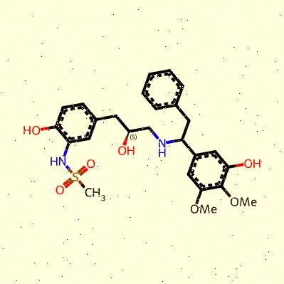 COc1cc(C(Cc2ccccc2)NC[C@@H](O)Cc2ccc(O)c(NS(C)(=O)=O)c2)cc(O)c1OC